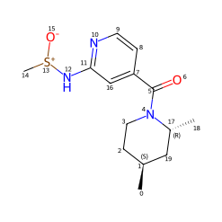 C[C@H]1CCN(C(=O)c2ccnc(N[S+](C)[O-])c2)[C@H](C)C1